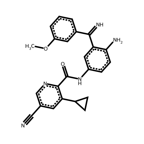 COc1cccc(C(=N)c2cc(NC(=O)c3ncc(C#N)cc3C3CC3)ccc2N)c1